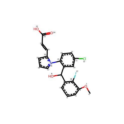 COc1cccc(C(O)c2cc(Cl)ccc2-n2cccc2C=CC(=O)O)c1F